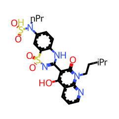 CCCN(c1ccc2c(c1)S(=O)(=O)N=C(c1c(O)c3cccnc3n(CCC(C)C)c1=O)N2)[SH](=O)=O